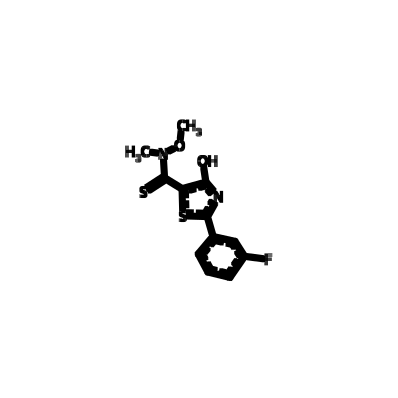 CON(C)C(=S)c1sc(-c2cccc(F)c2)nc1O